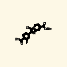 CCc1c(-c2ccc(C(=O)C(C)C)c(F)c2)nc2cc(C(=O)OC)ccn12